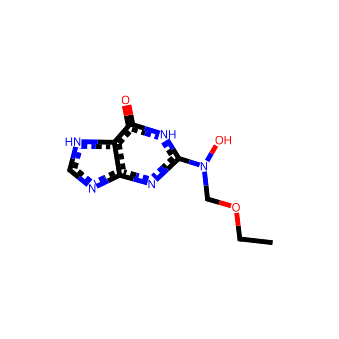 CCOCN(O)c1nc2nc[nH]c2c(=O)[nH]1